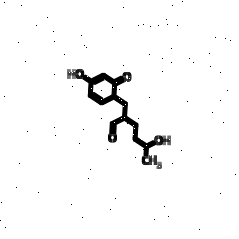 CC(O)CCC(C=O)CC1C=CC(O)=CC1=O